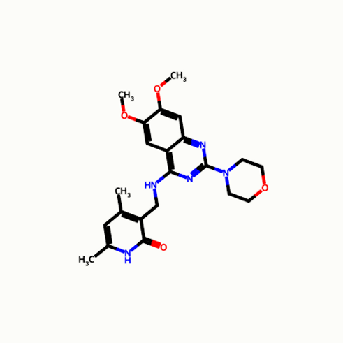 COc1cc2nc(N3CCOCC3)nc(NCc3c(C)cc(C)[nH]c3=O)c2cc1OC